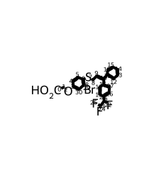 O=C(O)COc1ccc(SCC=C(c2ccccc2)c2ccc(C(F)C(F)F)cc2)c(Br)c1